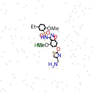 CCc1ccc(OC)c(S(=O)(=O)Nc2noc3cc(Oc4nc(CN)cs4)cc(OC)c23)c1.Cl